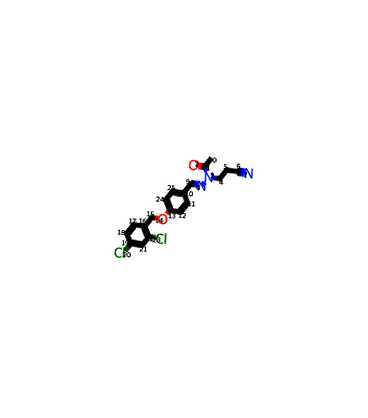 CC(=O)N(CCC#N)N=Cc1ccc(OCc2ccc(Cl)cc2Cl)cc1